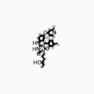 CC=C(O)CCCN1C(=O)NC(Nc2ccc(Oc3ccnc(C)c3)cc2)N(Cc2ccc(C)cc2)C1=O